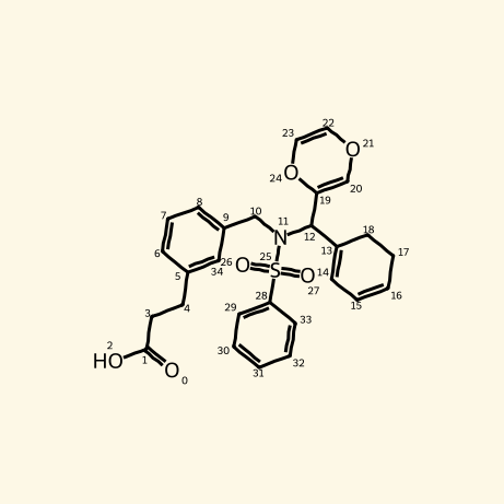 O=C(O)CCc1cccc(CN(C(C2=CC=CCC2)C2=COC=CO2)S(=O)(=O)c2ccccc2)c1